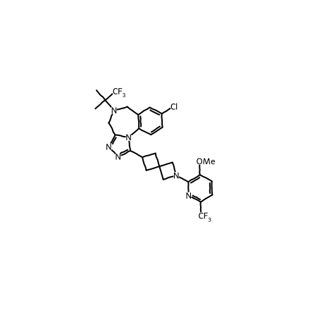 COc1ccc(C(F)(F)F)nc1N1CC2(CC(c3nnc4n3-c3ccc(Cl)cc3CN(C(C)(C)C(F)(F)F)C4)C2)C1